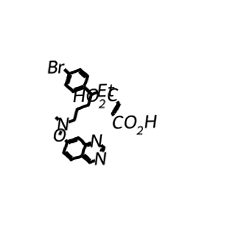 CCC(CCCN(C)Oc1ccc2cncnc2c1)c1ccc(Br)cc1.O=C(O)C=CC(=O)O